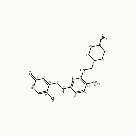 N[C@H]1CC[C@H](CNc2nc(NCc3cc(=O)[nH]cc3Cl)ncc2[N+](=O)[O-])CC1